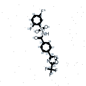 O=C(NS(=O)(=O)c1cc(F)ccc1F)c1ccc(-c2noc(C(F)(F)F)n2)cc1